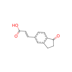 O=C(O)C=Cc1ccc2c(c1)CCC2=O